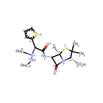 CC1(C)S[C@@H]2[C@@H](NC(=O)[C@H](c3cccs3)N(C=O)NC=O)C(=O)N2[C@H]1C(=O)O